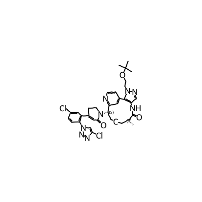 C[C@@H]1CCC[C@H](N2CCC(c3cc(Cl)ccc3-n3cc(Cl)nn3)=CC2=O)c2cc(ccn2)-c2c(cnn2CCOC(C)(C)C)NC1=O